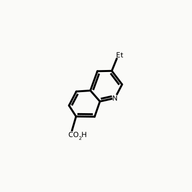 CCc1cnc2cc(C(=O)O)ccc2c1